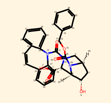 O=C(O)[C@H]1[C@@H]2[C@@H](O)C[C@H](CN1C(=O)N1c3ccccc3C=Cc3ccccc31)N2C(=O)OCc1ccccc1